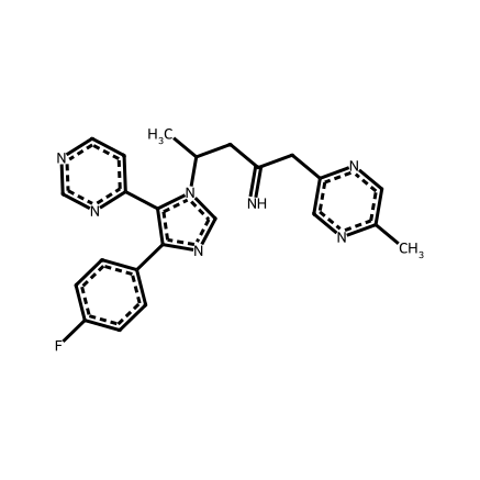 Cc1cnc(CC(=N)CC(C)n2cnc(-c3ccc(F)cc3)c2-c2ccncn2)cn1